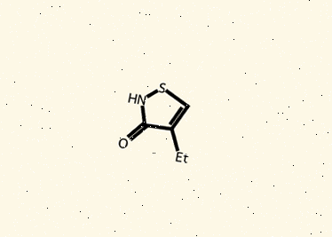 CCc1cs[nH]c1=O